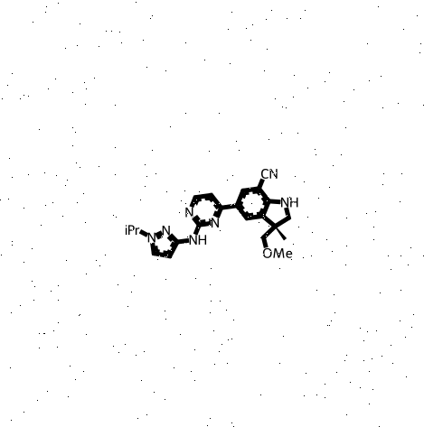 COC[C@@]1(C)CNc2c(C#N)cc(-c3ccnc(Nc4ccn(C(C)C)n4)n3)cc21